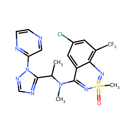 CC(c1ncnn1-c1cnccn1)N(C)C1=NS(C)(=O)=Nc2c1cc(Cl)cc2C(F)(F)F